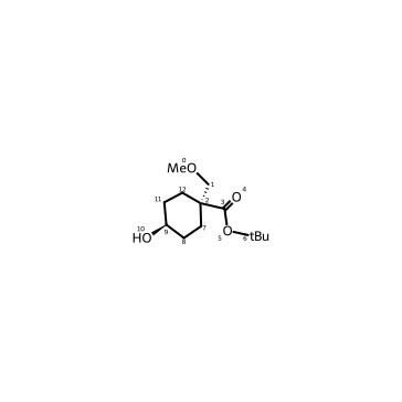 COC[C@]1(C(=O)OC(C)(C)C)CC[C@@H](O)CC1